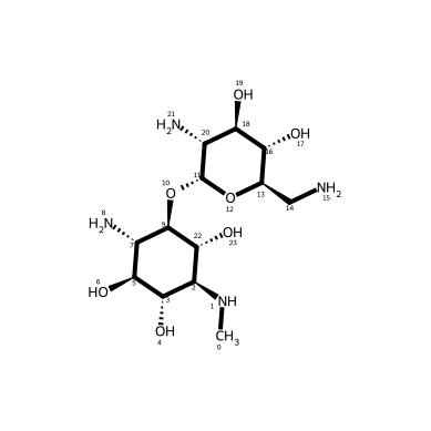 CN[C@H]1[C@H](O)[C@@H](O)[C@H](N)[C@@H](O[C@H]2O[C@H](CN)[C@@H](O)[C@H](O)[C@H]2N)[C@@H]1O